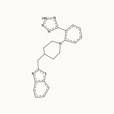 c1ccc(N2CCC(Cc3nc4ccccc4s3)CC2)c(-c2nn[nH]n2)c1